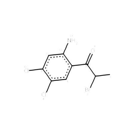 CC(Br)C(=O)c1cc(Cl)c(Cl)cc1N